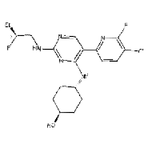 CC[C@H](F)CNc1ncc(-c2ccc(Cl)c(F)n2)c(N[C@H]2CC[C@H](O)CC2)n1